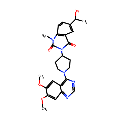 COc1cc2ncnc(N3CCC(n4c(=O)c5cc(C(C)O)ccc5n(C)c4=O)CC3)c2cc1OC